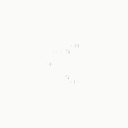 CN(C)CCCN(C=O)CCCO